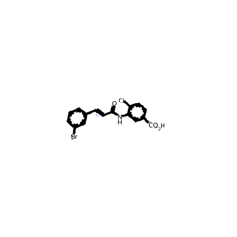 O=C(/C=C/c1cccc(Br)c1)Nc1cc(C(=O)O)ccc1Cl